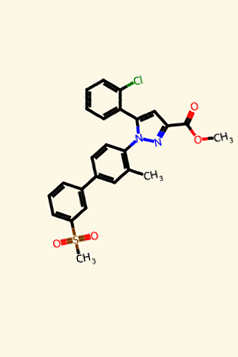 COC(=O)c1cc(-c2ccccc2Cl)n(-c2ccc(-c3cccc(S(C)(=O)=O)c3)cc2C)n1